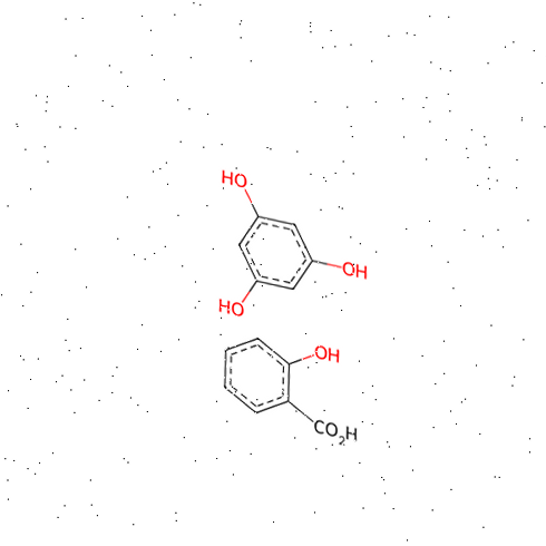 O=C(O)c1ccccc1O.Oc1cc(O)cc(O)c1